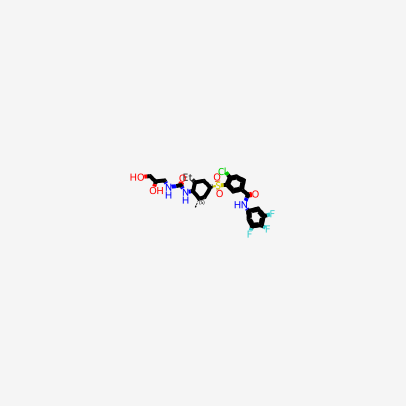 CCC1C[C@@H](S(=O)(=O)c2cc(C(=O)Nc3cc(F)c(F)c(F)c3)ccc2Cl)C[C@H](C)C1NC(=O)NCC(O)CO